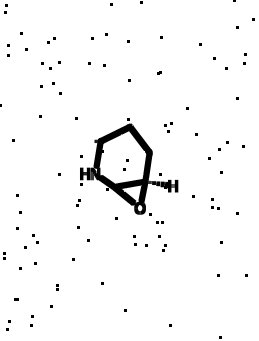 [CH]1CC[C@H]2OC2N1